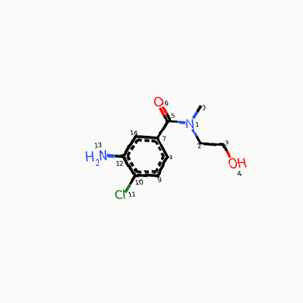 CN(CCO)C(=O)c1ccc(Cl)c(N)c1